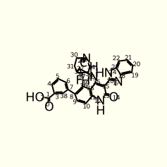 O=C(O)c1cccc(-c2ccc3[nH]c(=O)c(-c4nc5ccccc5[nH]4)c(N[C@H]4CN5CCC4CC5)c3c2F)c1